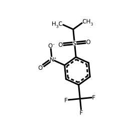 CC(C)S(=O)(=O)c1ccc(C(F)(F)F)cc1[N+](=O)[O-]